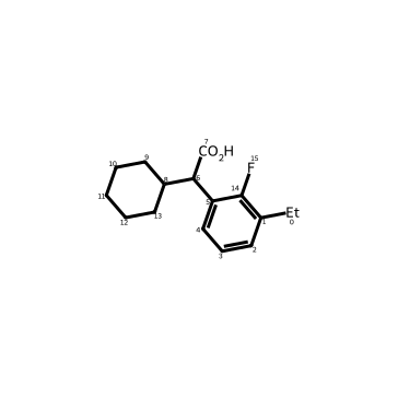 CCc1cccc(C(C(=O)O)C2CCCCC2)c1F